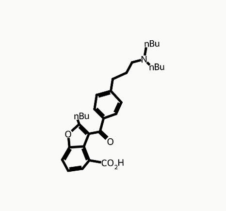 CCCCc1oc2cccc(C(=O)O)c2c1C(=O)c1ccc(CCCN(CCCC)CCCC)cc1